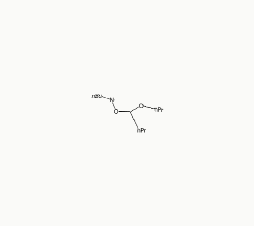 CCCC[N]OC(CCC)OCCC